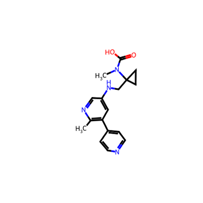 Cc1ncc(NCC2(N(C)C(=O)O)CC2)cc1-c1ccncc1